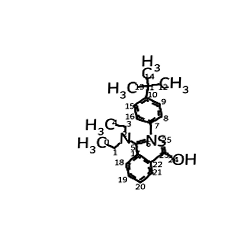 CCN(CC)C(=Nc1ccc(C(C)(C)C)cc1)c1ccccc1C(O)=S